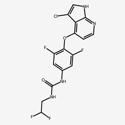 O=C(NCC(F)F)Nc1cc(F)c(Oc2ccnc3[nH]cc(Cl)c23)c(F)c1